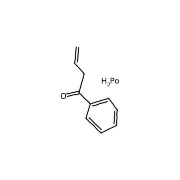 C=CCC(=O)c1ccccc1.[PoH2]